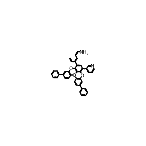 C=C/C(=C\C=C/N)c1cc(-c2cccnc2)c2c3c1Oc1cc(-c4ccccc4)ccc1B3c1ccc(-c3ccccc3)cc1O2